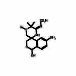 CC1(C)C(=NC(=O)O)NC2(COC(O)c3ccc(N)cc32)C[S+]1[O-]